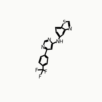 FC(F)(F)c1ccc(-c2cc(Nc3ccc4scnc4c3)ncn2)cc1